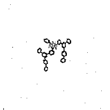 c1ccc(-c2ccc(-c3cc(-c4ccccc4)cc(-c4cccc(-c5nc(-c6ccccc6)nc(-c6cccc(-c7cc(-c8ccccc8)cc(-c8ccc(-c9ccccc9)cc8)c7)c6)n5)c4)c3)cc2)cc1